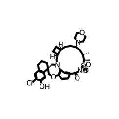 C[C@@H]1[C@@H](C)C[C@H](N2CCOCC2)CC[C@H]2CC[C@H]2CN2C[C@@]3(CCCc4cc(Cl)c(O)cc43)COc3ccc(cc32)C(=O)NS1(=O)=O